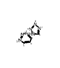 c1cnnnc1.c1nnn[nH]1